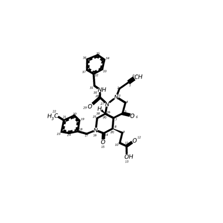 C#CCN1CC(=O)C2[C@@H](CCC(=O)O)C(=O)N(Cc3ccc(C)cc3)C[C@@H]2N1C(=O)NCc1ccccc1